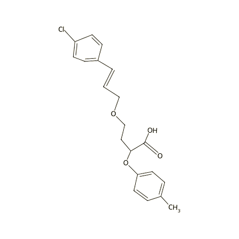 Cc1ccc(OC(CCOC/C=C/c2ccc(Cl)cc2)C(=O)O)cc1